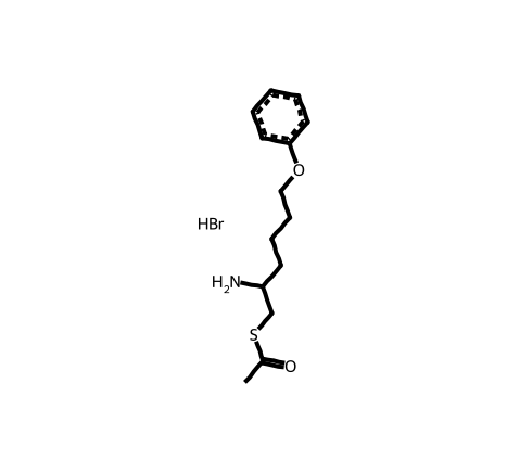 Br.CC(=O)SCC(N)CCCCOc1ccccc1